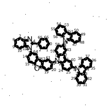 c1ccc(-c2nc3ccccc3n2-c2ccc3oc4ccc(-n5c6ccc(-n7c8ccccc8c8ccccc87)cc6c6cc(-n7c8ccccc8c8ccccc87)ccc65)cc4c3c2)cc1